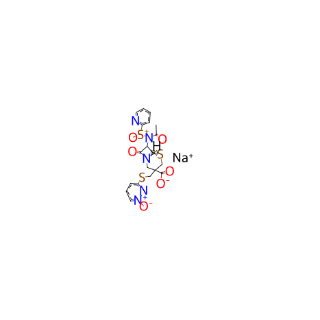 CC(=O)N(C1C(=O)N2CC(CSc3ccc[n+]([O-])n3)(C(=O)[O-])CS[C@H]12)[S+]([O-])c1ccccn1.[Na+]